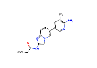 CNCC(=O)Nc1cn2cc(-c3cnc(N)c(C(F)(F)F)c3)ccc2n1